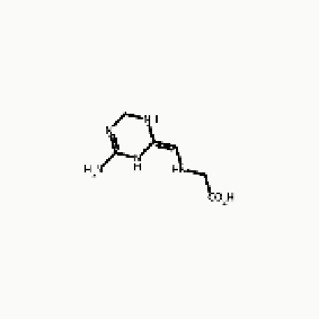 NC1=NCNC(=CNCC(=O)O)N1